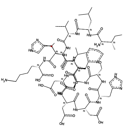 CC[C@H](C)[C@H](N)C(=O)N[C@@H](CC(C)C)C(=O)N[C@H](C(=O)N[C@@H](CC(C)C)C(=O)N[C@@H](Cc1ccccc1)C(=O)N[C@@H](CC(=O)O)C(=O)N[C@@H](CC(=O)O)C(=O)N[C@@H](CC(=O)O)C(=O)N[C@@H](Cc1c[nH]cn1)C(=O)N[C@@H](CO)C(=O)N[C@@H](CC(=O)O)C(=O)N[C@H](C(=O)N[C@@H](Cc1c[nH]cn1)C(=O)N[C@@H](CCCCN)C(=O)O)C(C)C)C(C)C